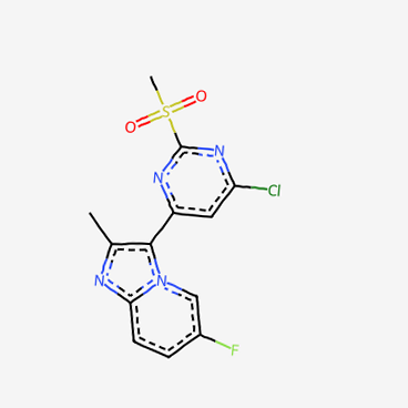 Cc1nc2ccc(F)cn2c1-c1cc(Cl)nc(S(C)(=O)=O)n1